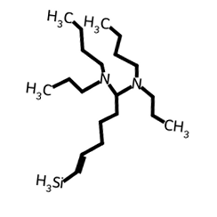 CCCCN(CCC)C(CCCC=C[SiH3])N(CCC)CCCC